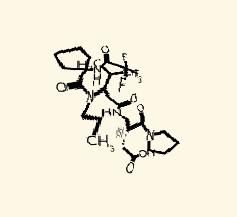 CCCN(C(=O)C1(NC(=O)C(F)(F)F)CCCC1)C(C(=O)N[C@@H](CC(=O)O)C(=O)N1CCCC1)C(C)C